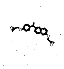 CC(c1ccc(OCC2CO2)cc1)c1ccc2cc(OCC3CO3)ccc2c1